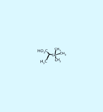 C[CH](C(=O)O)[Ge]([CH3])([CH3])[CH3]